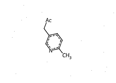 CC(=O)Cc1ccc(C)nc1